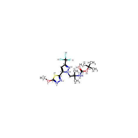 COc1nnc(-c2cc(C(F)(F)F)nn2CC(C)(C)NC(=O)OC(C)(C)C)s1